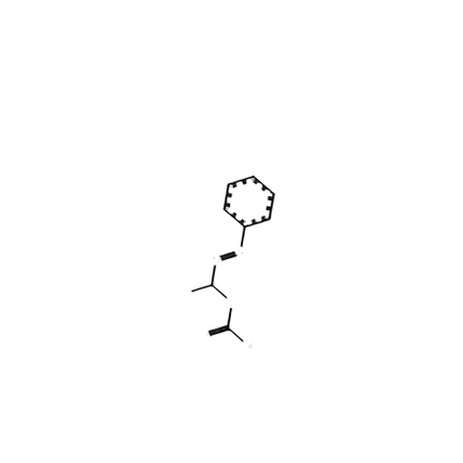 CCC(N=Nc1ccccc1)OC(N)=O